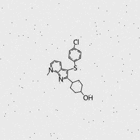 Cn1cccc2c(Sc3ccc(Cl)cc3)c(C3CCC(O)CC3)nc1-2